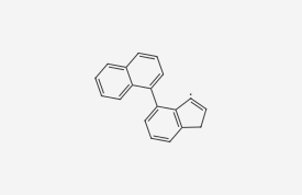 [C]1=CCc2cccc(-c3cccc4ccccc34)c21